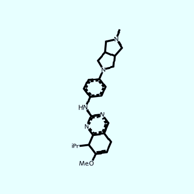 COC1=CCc2cnc(Nc3ccc(N4CC5CN(C)CC5C4)cc3)nc2C1C(C)C